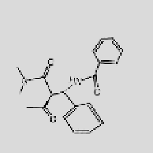 CC(=O)[C@@H](C(=O)N(C)C)[C@H](NC(=O)c1ccccc1)c1ccccc1